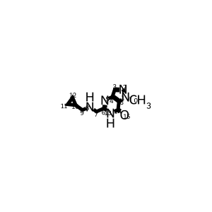 Cn1ncc2nc(CNCC3CC3)[nH]c(=O)c21